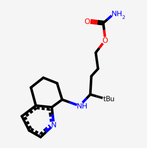 CC(C)(C)C(CCCOC(N)=O)NC1CCCc2cccnc21